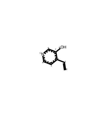 C=Cc1ccncc1O